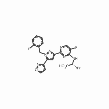 CC(C)[C@@H](Nc1nc(-c2cc(-c3ccon3)n(Cc3ccccc3F)n2)ncc1F)C(=O)O